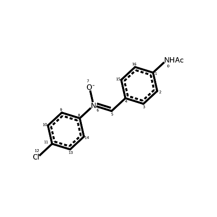 CC(=O)Nc1ccc(C=[N+]([O-])c2ccc(Cl)cc2)cc1